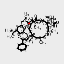 CC[C@H]1OC(=O)C(C)C(=O)[C@H](C)[C@@H](O[C@@H]2O[C@H](CN(C)C(=O)CN(C)C)CC(N(C)C)[C@H]2OC(=O)c2ccccc2)[C@](C)(OC)C[C@@H](C)CN[C@H](C)[C@@H](NC=O)[C@]1(C)OC